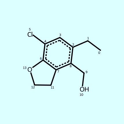 CCc1cc(Cl)c2c(c1CO)CCO2